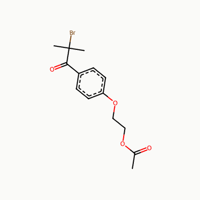 CC(=O)OCCOc1ccc(C(=O)C(C)(C)Br)cc1